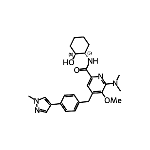 COc1c(Cc2ccc(-c3cnn(C)c3)cc2)cc(C(=O)N[C@H]2CCCC[C@@H]2O)nc1N(C)C